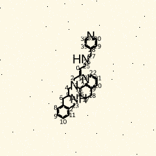 C(=C\CN(CC1Cc2ccccc2CN1)C1CCCc2cccnc21)/CNCc1ccncc1